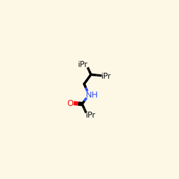 CC(C)C(=O)NCC(C(C)C)C(C)C